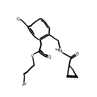 O=C(OCCBr)c1cc(Cl)ccc1CNC(=O)C1CC1